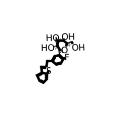 OC[C@H]1O[C@@H](c2cc(Cc3cc4ccccc4s3)ccc2F)[C@H](O)[C@@H](O)[C@@H]1O